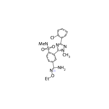 CCO/N=C(\N)c1ccc(S(=O)(=O)NC)c(-c2nc(-c3ccccc3Cl)nn2C)c1